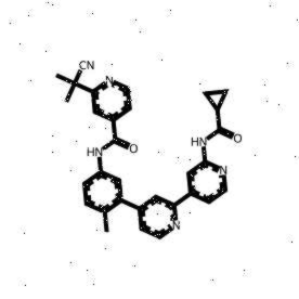 Cc1ccc(NC(=O)c2ccnc(C(C)(C)C#N)c2)cc1-c1ccnc(-c2ccnc(NC(=O)C3CC3)c2)c1